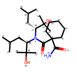 CC(C)C[C@@H](N(C(=O)C1(C(N)=O)CCCCC1)[C@H](CC(C)C)C(C)(C)O)C(C)(C)O